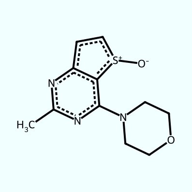 Cc1nc(N2CCOCC2)c2c(cc[s+]2[O-])n1